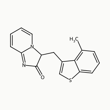 Cc1cccc2scc(CC3C(=O)N=C4C=CC=CN43)c12